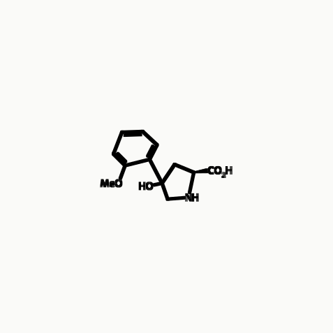 COc1ccccc1C1(O)CN[C@H](C(=O)O)C1